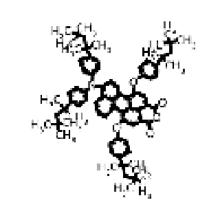 CC(C)(C)CC(C)(C)c1ccc(Oc2cc3c4c(cc(Oc5ccc(C(C)(C)CC(C)(C)C)cc5)c5c6ccc(N(c7ccc(C(C)(C)CC(C)(C)C)cc7)c7ccc(C(C)(C)CC(C)(C)C)cc7)c7cccc(c2c45)c76)C(=O)OC3=O)cc1